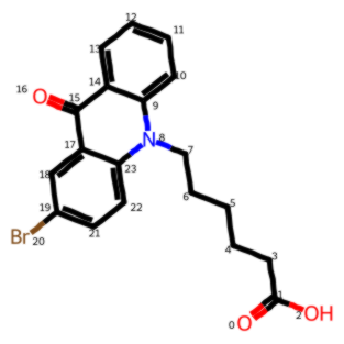 O=C(O)CCCCCn1c2ccccc2c(=O)c2cc(Br)ccc21